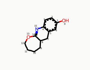 Oc1ccc2c(c1)CC1CCCCOC1=N2